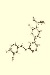 Cc1ccc(OCc2ccnc(-c3ccc(C(N)=O)c(C)c3)c2)cc1Cl